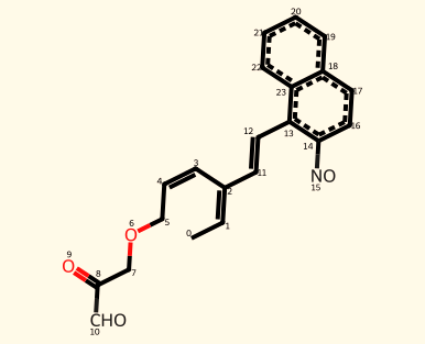 C/C=C(\C=C/COCC(=O)C=O)/C=C/c1c(N=O)ccc2ccccc12